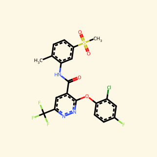 Cc1ccc(S(C)(=O)=O)cc1NC(=O)c1cc(C(F)(F)F)nnc1Oc1ccc(F)cc1Cl